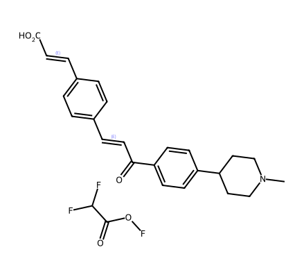 CN1CCC(c2ccc(C(=O)/C=C/c3ccc(/C=C/C(=O)O)cc3)cc2)CC1.O=C(OF)C(F)F